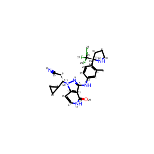 Cc1cc(Nc2nn([C@@H](CC#N)C3CC3)c3cc[nH]c(=O)c23)ccc1[C@]1(C(F)(F)F)CCCN1